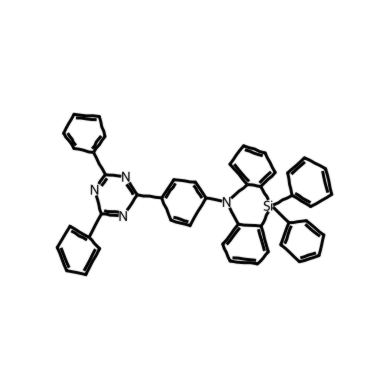 c1ccc(-c2nc(-c3ccccc3)nc(-c3ccc(N4c5ccccc5[Si](c5ccccc5)(c5ccccc5)c5ccccc54)cc3)n2)cc1